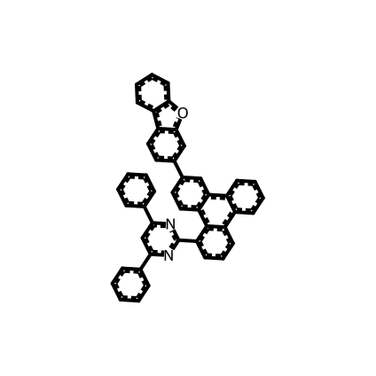 c1ccc(-c2cc(-c3ccccc3)nc(-c3cccc4c5ccccc5c5cc(-c6ccc7c(c6)oc6ccccc67)ccc5c34)n2)cc1